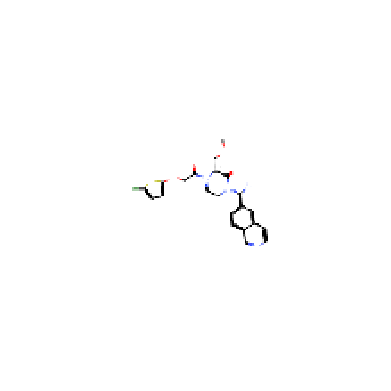 COC[C@H]1C(=O)N(C(N)c2ccc3cnccc3c2)CCN1C(=O)COc1ccc(Cl)s1